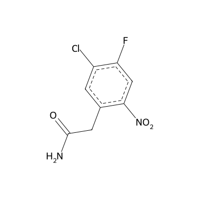 NC(=O)Cc1cc(Cl)c(F)cc1[N+](=O)[O-]